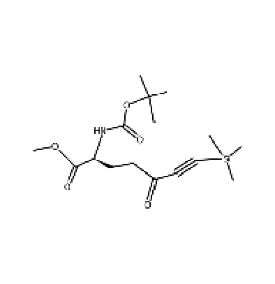 COC(=O)[C@H](CCC(=O)C#C[Si](C)(C)C)NC(=O)OC(C)(C)C